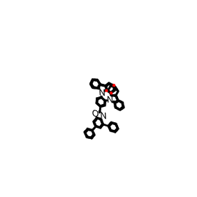 c1ccc2c3ccccc3n(-c3ccc(-c4nc5c(-c6ccccc6)cc(-c6ccccc6)cc5o4)cc3-n3c4c(c5ccccc53)C=CCC4)c2c#1